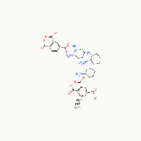 N[C@@H]1CCCC[C@H]1N.N[C@@H]1CCCC[C@H]1N.N[C@@H]1CCCC[C@H]1N.O=C([O-])c1ccc(C(=O)[O-])c(C(=O)[O-])c1.O=C([O-])c1ccc(C(=O)[O-])c(C(=O)[O-])c1.[Pt+2].[Pt+2].[Pt+2]